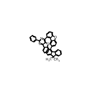 CC1(C)c2ccccc2-c2c(-c3ccc4oc5cccc(-c6nc(-c7ccccc7)nc7c6oc6ccccc67)c5c4c3)cccc21